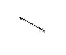 CC[C@@H](N)CSSCCC(=O)NCCOCCOCCOCCOCCOCCOCCOCCOCCOCCOCCn1cc(C)nn1